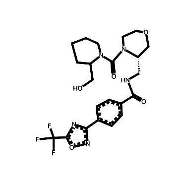 O=C(NC[C@H]1COCCN1C(=O)N1CCCCC1CO)c1ccc(-c2noc(C(F)(F)F)n2)cc1